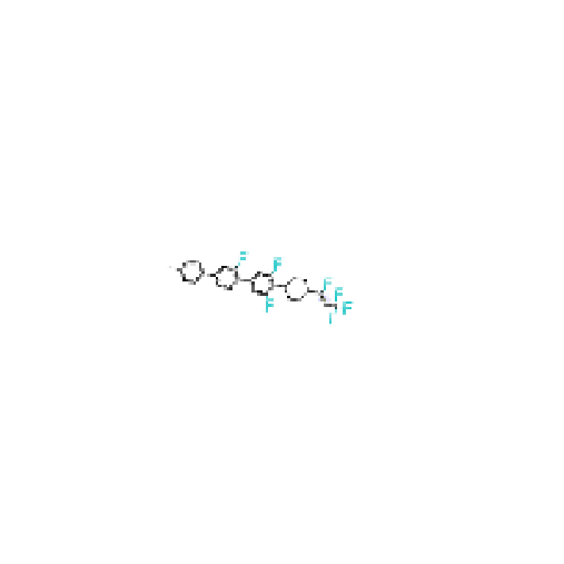 Cc1ccc(-c2ccc(-c3cc(F)c(C4CCC(/C(F)=C/C(F)(F)F)CC4)c(F)c3)c(F)c2)cc1